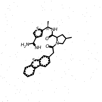 CC1CC(C(=O)N[C@H](C)c2cc(C(=N)N)cs2)N(C(=O)Cc2ccc3c(c2)sc2ccccc23)C1